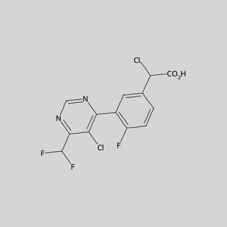 O=C(O)C(Cl)c1ccc(F)c(-c2ncnc(C(F)F)c2Cl)c1